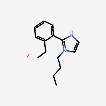 CCCC[n+]1cc[nH]c1-c1ccccc1CC.[Br-]